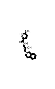 CC1C=CC(C(=O)NC[C@H](O)CN2CCc3ccccc3C2)=NN1